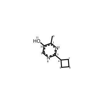 Cc1nc(C2CCC2)ncc1O